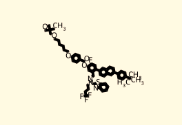 CCC1(COCCCCCCOc2ccc(C(=O)Oc3cc(/C=N/N(CCCC(F)(F)F)c4nc5ccccc5s4)c(-c4ccc5cc(-c6ccc(C(C)(C)C)cc6)ccc5c4)cc3F)cc2)COC1